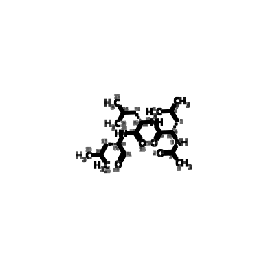 CC(=O)N[C@@H](CC(C)C)C(=O)N[C@@H](CC(C)C)C(=O)N[C@H](C=O)CC(C)C